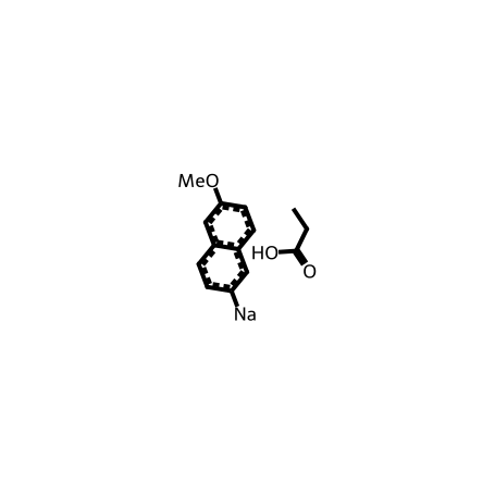 CCC(=O)O.COc1ccc2c[c]([Na])ccc2c1